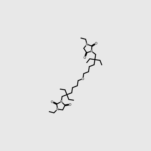 CCN1CC(=O)N(CC(CC)(CC)CCCCOCCCCC(CC)(CC)CN2C(=O)CN(CC)C2=O)C1=O